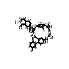 Cc1ccc(F)c(-c2ccc3cc2CN(C)C(=O)[C@H](Nc2ccc4cc[nH]c(=O)c4c2)c2ccc(c(C)c2)[C@@H](C)COC(=O)N3)c1